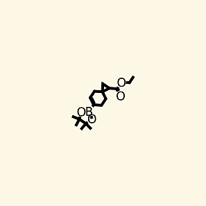 CCOC(=O)C1CC12CC=C(B1OC(C)(C)C(C)(C)O1)CC2